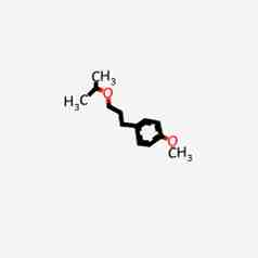 COc1ccc(CCCOC(C)C)cc1